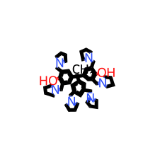 CC(c1cc(CN2CCCC2)cc(CN2CCCC2)c1)(c1cc(CN2CCCC2)c(O)c(CN2CCCC2)c1)c1cc(CN2CCCC2)c(O)c(CN2CCCC2)c1